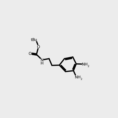 CC(C)(C)OC(=O)NCCc1ccc(N)c(N)c1